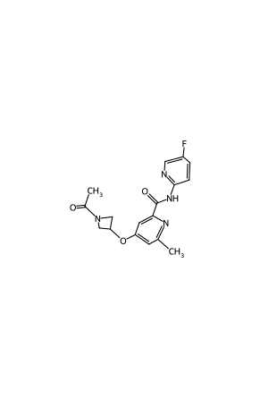 CC(=O)N1CC(Oc2cc(C)nc(C(=O)Nc3ccc(F)cn3)c2)C1